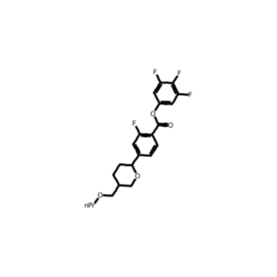 CCCOCC1CCC(c2ccc(C(=O)Oc3cc(F)c(F)c(F)c3)c(F)c2)OC1